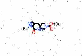 CC(C)(C)OC(=O)N1CCC2(CC1)Cc1cnn(C(C)(C)C)c1C(=O)N2